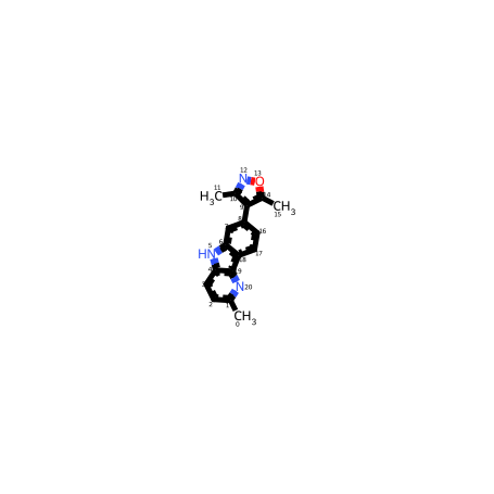 Cc1ccc2[nH]c3cc(-c4c(C)noc4C)ccc3c2n1